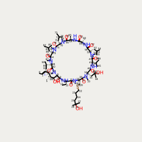 C/C=C/C[C@@H](C)[C@@H](O)[C@H]1C(=O)N[C@@H](CC)C(=O)N(C)[C@@H](CSCCCCC(C)(C)O)C(=O)N(C)[C@@H](CC(C)(C)O)C(=O)N[C@@H](C(C)C)C(=O)N(C)[C@@H](CC(C)C)C(=O)N[C@@H](C)C(=O)N[C@H](C)C(=O)N(C)[C@@H](CC(C)C)C(=O)N(C)[C@@H](CC(C)C)C(=O)N(C)[C@@H](C(C)C)C(=O)N1C